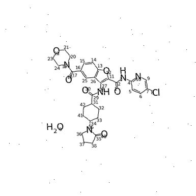 O.O=C(Nc1ccc(Cl)cn1)c1oc2ccc(C(=O)N3CCOCC3)cc2c1NC(=O)C1CCC(N2CCCC2=O)CC1